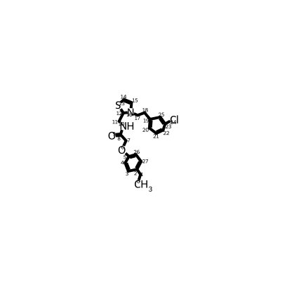 CCc1ccc(OCC(=O)NCC2SC=CN2CCc2cccc(Cl)c2)cc1